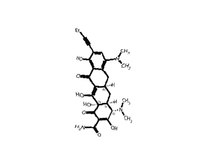 CCC#Cc1cc(N(C)C)c2c(c1O)C(=O)C1=C(O)[C@]3(O)C(=O)C(C(N)=O)=C(O)[C@@H](N(C)C)[C@@H]3C[C@@H]1C2